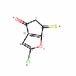 O=C1CC(=S)c2oc(Cl)cc21